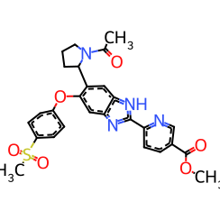 COC(=O)c1ccc(-c2nc3cc(Oc4ccc(S(C)(=O)=O)cc4)c(C4CCCN4C(C)=O)cc3[nH]2)nc1